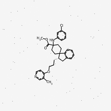 COC(=O)C1(Nc2cccc(Cl)c2)CCC2(CC1)c1ccccc1C[C@@H]2CCCOc1ccncc1C